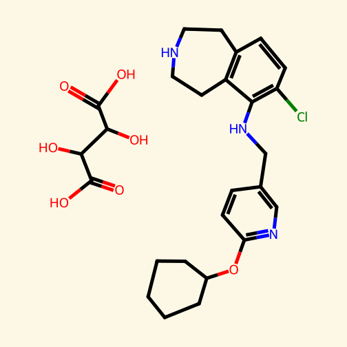 Clc1ccc2c(c1NCc1ccc(OC3CCCCC3)nc1)CCNCC2.O=C(O)C(O)C(O)C(=O)O